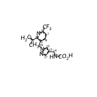 C=C(C)c1nc(C(F)(F)F)ccc1Cn1cc(CNC(=O)O)cn1